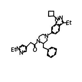 CCc1nn(C2CCC2)c2cc(N3CCN(C(=O)Cc4cnn(CC)c4)C(Cc4ccccc4)C3)ccc12